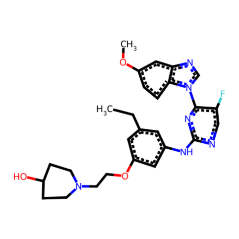 CCc1cc(Nc2ncc(F)c(-n3cnc4cc(OC)ccc43)n2)cc(OCCN2CCC(O)CC2)c1